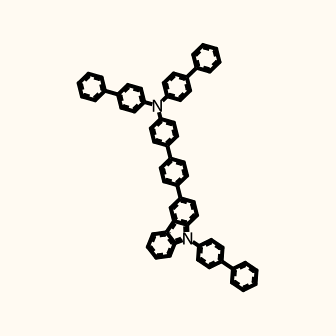 c1ccc(-c2ccc(N(c3ccc(-c4ccccc4)cc3)c3ccc(-c4ccc(-c5ccc6c(c5)c5ccccc5n6-c5ccc(-c6ccccc6)cc5)cc4)cc3)cc2)cc1